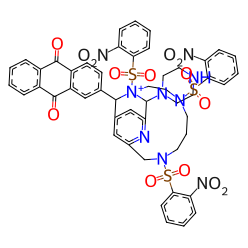 O=C1c2ccccc2C(=O)c2cc(C3c4cc5nc(c4)C(N4CCNCC4)[N+]3(S(=O)(=O)c3ccccc3[N+](=O)[O-])CCN(S(=O)(=O)c3ccccc3[N+](=O)[O-])CCCN(S(=O)(=O)c3ccccc3[N+](=O)[O-])C5)ccc21